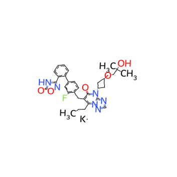 CCCc1c(Cc2ccc(-c3ccccc3-c3noc(=O)[nH]3)cc2F)c(=O)n([C@H]2C[C@H](OCC(C)(C)O)C2)c2ncnn12.[K]